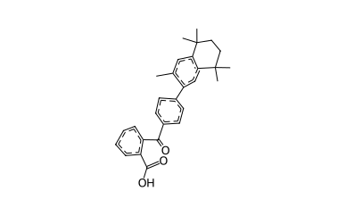 Cc1cc2c(cc1-c1ccc(C(=O)c3ccccc3C(=O)O)cc1)C(C)(C)CCC2(C)C